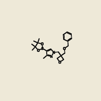 Cc1nn(CC2(COCc3ccccc3)COC2)cc1B1OC(C)(C)C(C)(C)O1